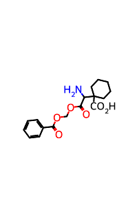 NC(C(=O)OCOC(=O)c1ccccc1)C1(C(=O)O)CCCCC1